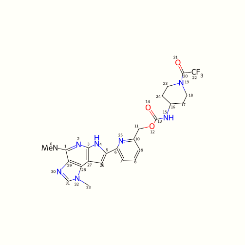 CNc1nc2[nH]c(-c3cccc(COC(=O)NC4CCN(C(=O)C(F)(F)F)CC4)n3)cc2c2c1ncn2C